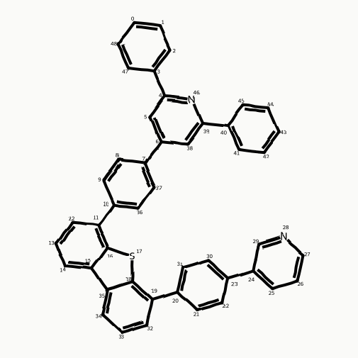 c1ccc(-c2cc(-c3ccc(-c4cccc5c4sc4c(-c6ccc(-c7cccnc7)cc6)cccc45)cc3)cc(-c3ccccc3)n2)cc1